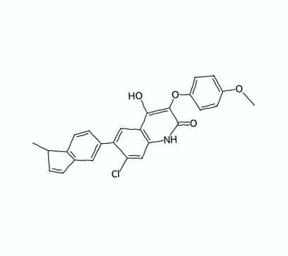 COc1ccc(Oc2c(O)c3cc(-c4ccc5c(c4)C=CC5C)c(Cl)cc3[nH]c2=O)cc1